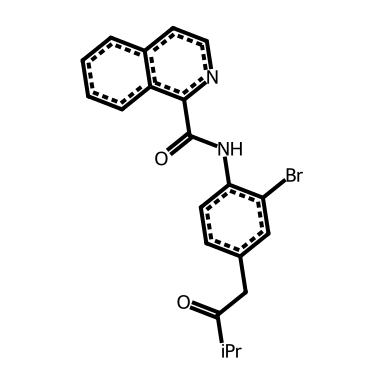 CC(C)C(=O)Cc1ccc(NC(=O)c2nccc3ccccc23)c(Br)c1